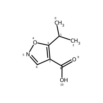 CC(C)c1oncc1C(=O)O